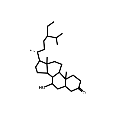 CCC(CC[C@@H](C)C1CCC2C3C(O)CC4CC(=O)CCC4(C)C3CCC21C)C(C)C